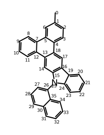 Cc1ccc2c(c1)c1ccccc1c1cc3c(cc21)c1ccccc1n3-c1cccc2ccccc12